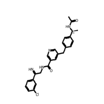 CC(=O)N[C@@H](C)c1ccc(Cc2cncc(C(=O)NCC(=N)c3cccc(Cl)c3)c2)cc1